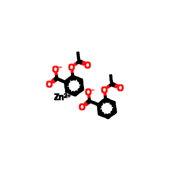 CC(=O)Oc1ccccc1C(=O)[O-].CC(=O)Oc1ccccc1C(=O)[O-].[Zn+2]